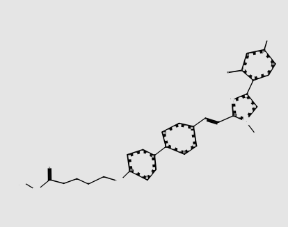 COC(=O)CCCCOc1ccc(-c2ccc(/C=C/c3nc(-c4ccc(Cl)cc4Cl)cn3C)cc2)cc1